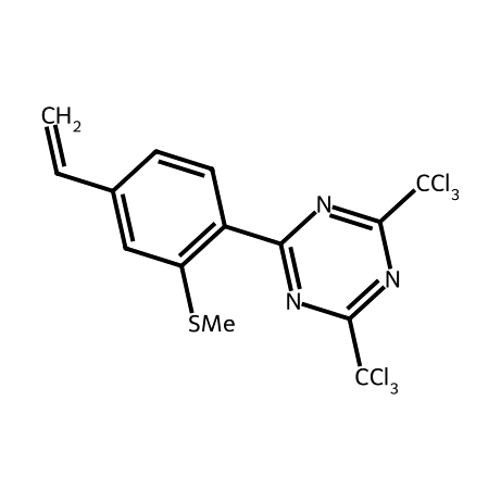 C=Cc1ccc(-c2nc(C(Cl)(Cl)Cl)nc(C(Cl)(Cl)Cl)n2)c(SC)c1